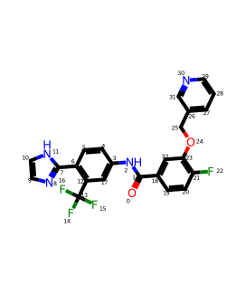 O=C(Nc1ccc(-c2ncc[nH]2)c(C(F)(F)F)c1)c1ccc(F)c(OCc2cccnc2)c1